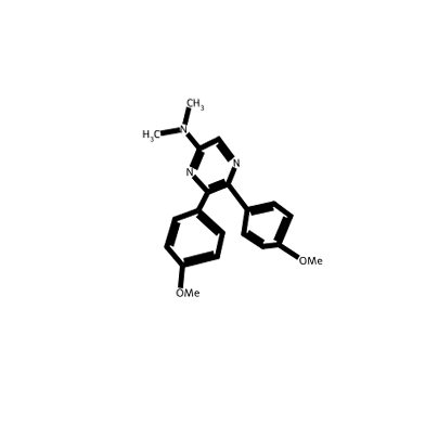 COc1ccc(-c2ncc(N(C)C)nc2-c2ccc(OC)cc2)cc1